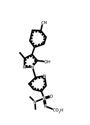 Cc1nn(-c2ccc(S(=O)(=NC(=O)O)N(C)C)cn2)c(O)c1-c1ccc(C#N)cc1